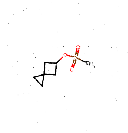 CS(=O)(=O)OC1CC2(CC2)C1